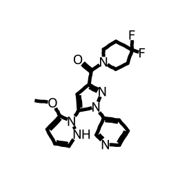 COC1=CC=CNN1c1cc(C(=O)N2CCC(F)(F)CC2)nn1-c1cccnc1